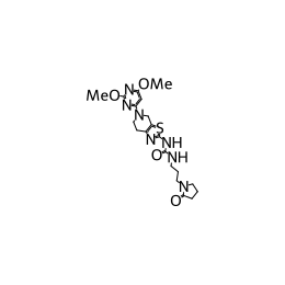 COc1cc(N2CCc3nc(NC(=O)NCCCN4CCCC4=O)sc3C2)nc(OC)n1